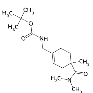 CN(C)C(=O)C1(C)CC=C(CNC(=O)OC(C)(C)C)CC1